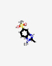 CCn1c(C)nc2cc(S(=O)(=O)C(C)C)ccc21